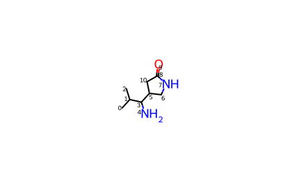 CC(C)C(N)C1CNC(=O)C1